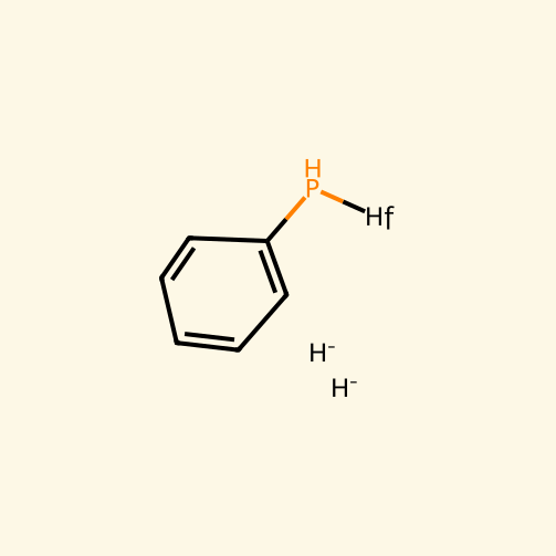 [H-].[H-].[Hf][PH]c1ccccc1